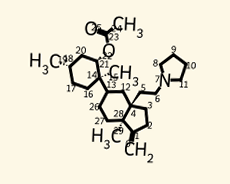 C=C1CC[C@@]2(CCN3CCCC3)CC([C@@]3(C)CC[C@H](C)C[C@@H]3OC(C)=O)CC[C@]12C